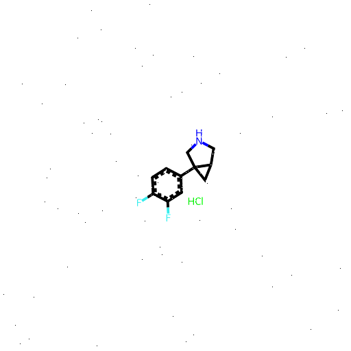 Cl.Fc1ccc(C23CNCC2C3)cc1F